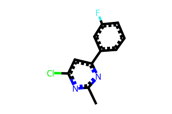 Cc1nc(Cl)cc(-c2cccc(F)c2)n1